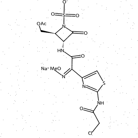 CON=C(C(=O)N[C@H]1C(=O)N(S(=O)(=O)[O-])[C@@H]1COC(C)=O)c1csc(NC(=O)CCl)n1.[Na+]